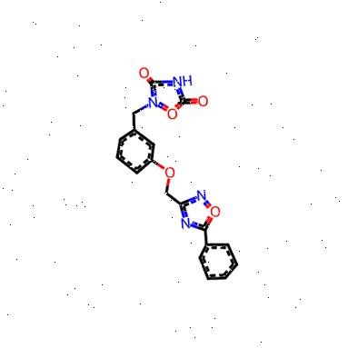 O=c1[nH]c(=O)n(Cc2cccc(OCc3noc(-c4ccccc4)n3)c2)o1